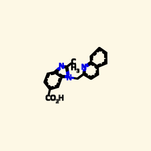 Cc1nc2ccc(C(=O)O)cc2n1Cc1ccc2ccccc2n1